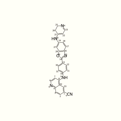 N#Cc1ccc2nccc(Nc3ccc(-c4nc5ccc(NC6=CC=NCC6)cc5o4)cc3)c2c1